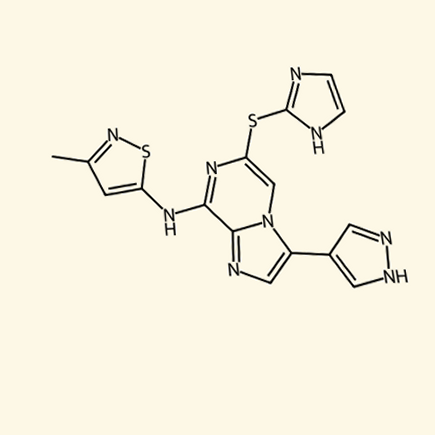 Cc1cc(Nc2nc(Sc3ncc[nH]3)cn3c(-c4cn[nH]c4)cnc23)sn1